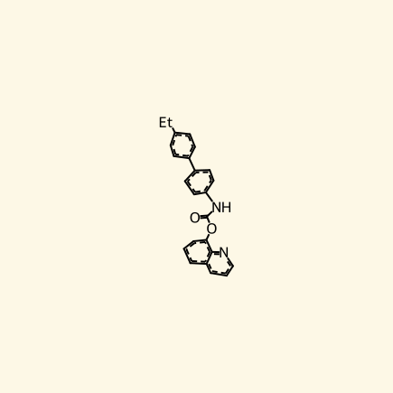 CCc1ccc(-c2ccc(NC(=O)Oc3cccc4cccnc34)cc2)cc1